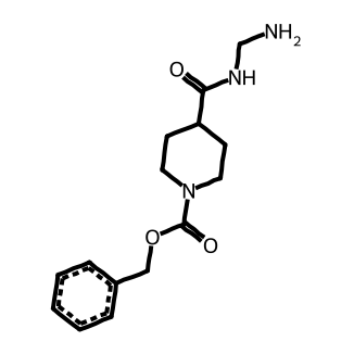 NCNC(=O)C1CCN(C(=O)OCc2ccccc2)CC1